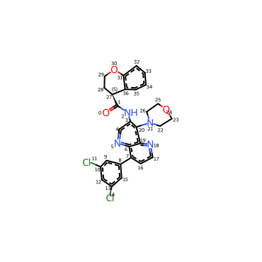 O=C(Nc1cnc2c(-c3cc(Cl)cc(Cl)c3)ccnc2c1N1CCOCC1)[C@H]1CCOc2ccccc21